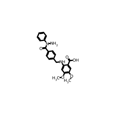 COc1cc(NCc2ccc(C(=O)N(N)c3ccccc3)cc2)c(C(=O)O)cc1OC